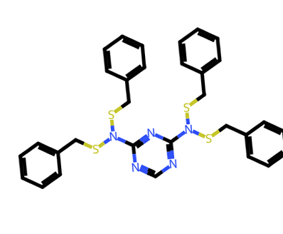 c1ccc(CSN(SCc2ccccc2)c2ncnc(N(SCc3ccccc3)SCc3ccccc3)n2)cc1